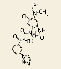 CC(C)CN(C)c1cc(NC(=O)OC(C)(C)C)c(NC(=O)CC(=O)c2cccc(-n3ccnn3)c2)cc1Cl